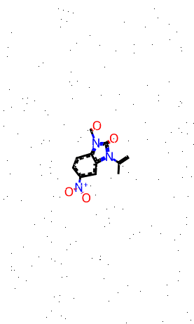 C=C(C)n1c(=O)n(C=O)c2ccc([N+](=O)[O-])cc21